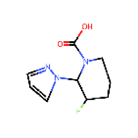 O=C(O)N1CCCC(F)C1n1cccn1